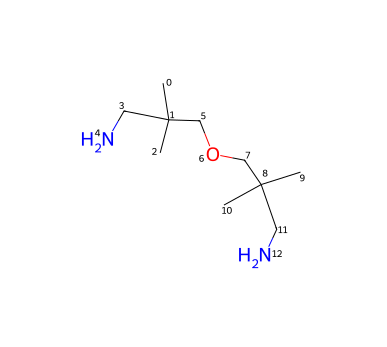 CC(C)(CN)COCC(C)(C)CN